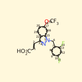 O=C(O)/C=C/c1nn(Cc2ccc(F)cc2F)c2cc(OC(F)(F)F)ccc12